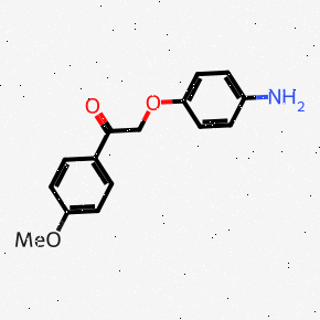 COc1ccc(C(=O)COc2ccc(N)cc2)cc1